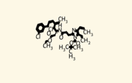 C=Cc1c(/C=C\C)nc(CCC(=O)N[C@@H](CC(=O)OCC)CC(/C=C\C(C)c2cccc(Cl)c2)=C/C)n1C(=O)OC(C)(C)C